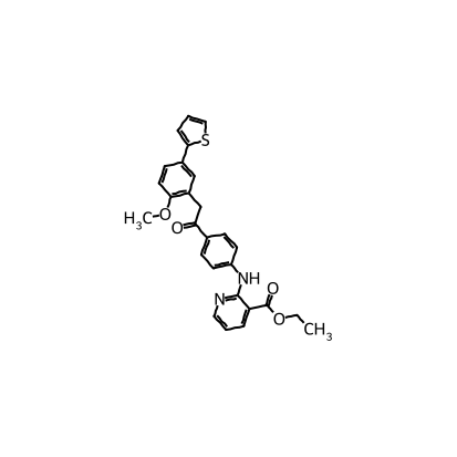 CCOC(=O)c1cccnc1Nc1ccc(C(=O)Cc2cc(-c3cccs3)ccc2OC)cc1